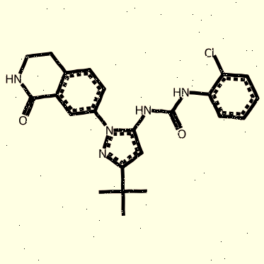 CC(C)(C)c1cc(NC(=O)Nc2ccccc2Cl)n(-c2ccc3c(c2)C(=O)NCC3)n1